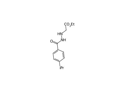 CCOC(=O)CNNC(=O)c1ccc(C(C)C)cc1